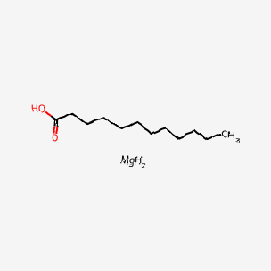 CCCCCCCCCCCC(=O)O.[MgH2]